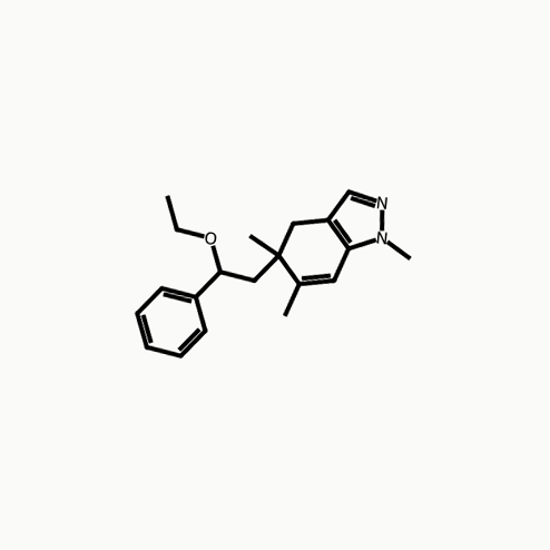 CCOC(CC1(C)Cc2cnn(C)c2C=C1C)c1ccccc1